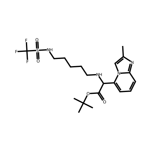 Cc1cn2c(C(NCCCCCNS(=O)(=O)C(F)(F)F)C(=O)OC(C)(C)C)cccc2n1